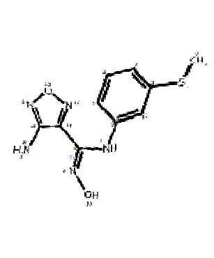 CSc1cccc(N/C(=N\O)c2nonc2N)c1